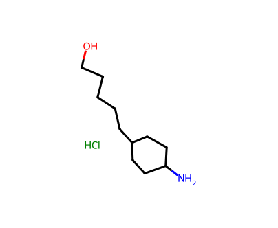 Cl.NC1CCC(CCCCCO)CC1